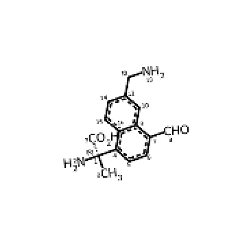 C[C@](N)(C(=O)O)c1ccc(C=O)c2cc(CN)ccc12